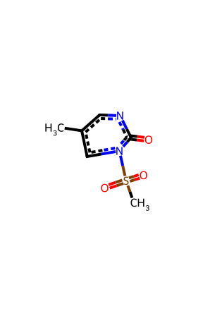 Cc1cnc(=O)n(S(C)(=O)=O)c1